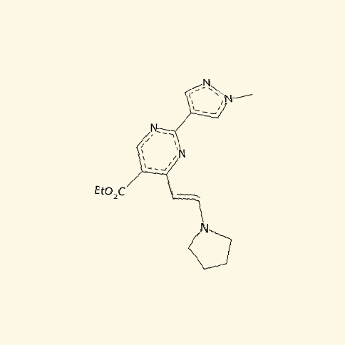 CCOC(=O)c1cnc(-c2cnn(C)c2)nc1C=CN1CCCC1